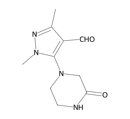 Cc1nn(C)c(N2CCNC(=O)C2)c1C=O